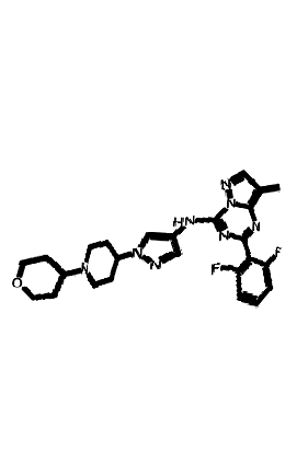 Cc1cnn2c(Nc3cnn(C4CCN(C5CCOCC5)CC4)c3)nc(-c3c(F)cccc3F)nc12